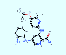 Cc1nc(Nc2cc(N[C@@H]3CCCCC3N)cnc2C(N)=O)ccc1OC(C)C